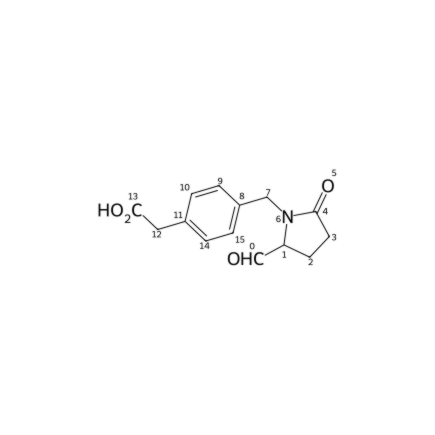 O=CC1CCC(=O)N1Cc1ccc(CC(=O)O)cc1